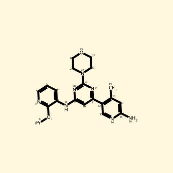 CC(C)Oc1ncccc1Nc1cc(-c2cnc(N)cc2C(F)(F)F)nc(N2CCOCC2)n1